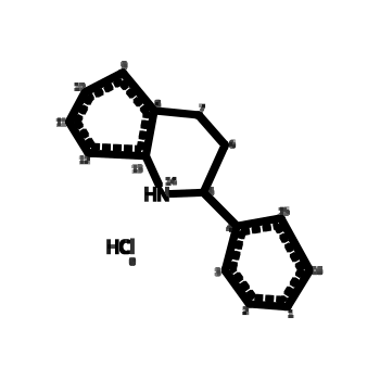 Cl.c1ccc(C2CCc3ccccc3N2)cc1